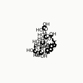 C[C@H](CC[C@@H](O[C@@H]1O[C@H](CO[C@@H]2OC[C@@H](O)C[C@H]2O)[C@@H](O)[C@H](O)[C@H]1O[C@H]1O[C@@H](CO)[C@H](O)[C@@H](O)[C@@H]1O)C(C)(C)O)C1CC[C@@]2(C)C3CC=C4C(CC[C@H](O[C@@H]5O[C@H](CO)C([C@@H]6O[C@H](CO)[C@@H](O)C[C@H]6O)[C@H](O)[C@H]5O)C4(C)C)[C@]3(C)C(=O)C[C@]12C